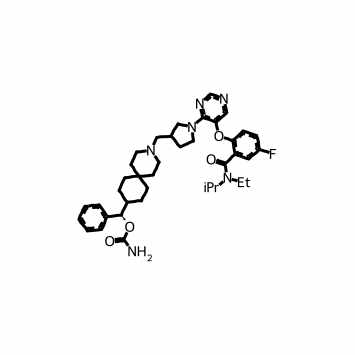 CCN(C(=O)c1cc(F)ccc1Oc1cncnc1N1CCC(CN2CCC3(CCC([C@H](OC(N)=O)c4ccccc4)CC3)CC2)C1)C(C)C